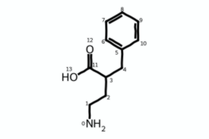 NCCC(Cc1ccccc1)C(=O)O